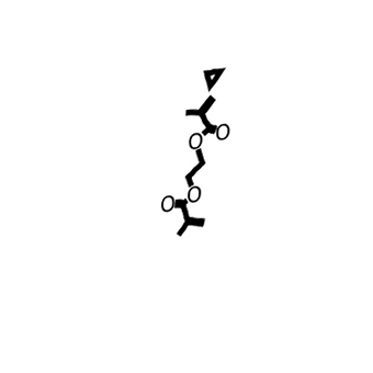 C1CC1.C=C(C)C(=O)OCCOC(=O)C(=C)C